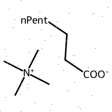 CCCCCCCC(=O)[O-].C[N+](C)(C)C